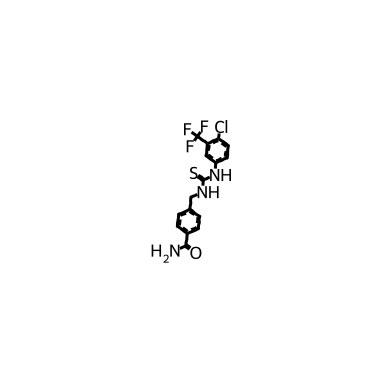 NC(=O)c1ccc(CNC(=S)Nc2ccc(Cl)c(C(F)(F)F)c2)cc1